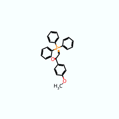 COc1ccc(C(=O)C=P(c2ccccc2)(c2ccccc2)c2ccccc2)cc1